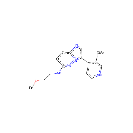 COc1cnccc1-c1cnc2ccc(NCCOC(C)C)nn12